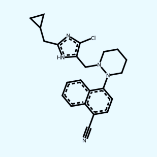 N#Cc1ccc(N2CCCCN2Cc2[nH]c(CC3CC3)nc2Cl)c2ccccc12